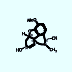 COc1ccc2c3c1O[C@H]1C[C@@H](O)C=C[C@@]31CCN(C)[C@H]2C#N